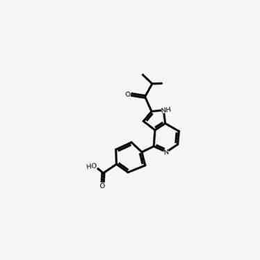 CC(C)C(=O)c1cc2c(-c3ccc(C(=O)O)cc3)nccc2[nH]1